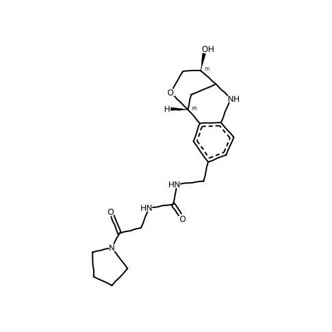 O=C(NCC(=O)N1CCCC1)NCc1ccc2c(c1)[C@H]1CC(N2)[C@H](O)CO1